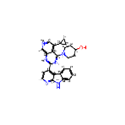 OC1CCN(c2nc(-c3ccnc4[nH]c5ccccc5c34)nc3cncc(C4CC4)c23)CC1